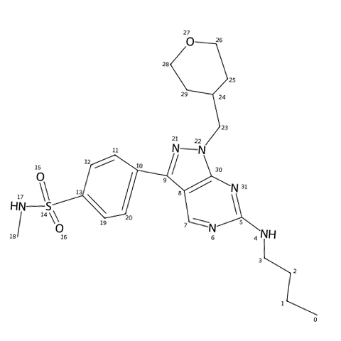 CCCCNc1ncc2c(-c3ccc(S(=O)(=O)NC)cc3)nn(CC3CCOCC3)c2n1